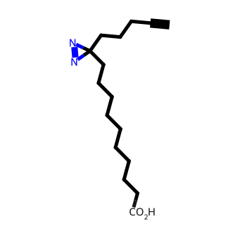 C#CCCCC1(CCCCCCCCCC(=O)O)N=N1